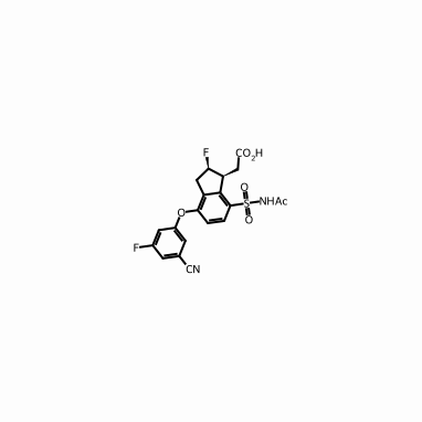 CC(=O)NS(=O)(=O)c1ccc(Oc2cc(F)cc(C#N)c2)c2c1[C@H](CC(=O)O)[C@H](F)C2